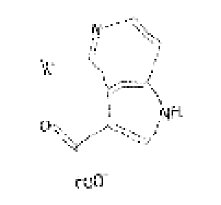 O=C([O-])C(=O)c1c[nH]c2ccncc12.[K+]